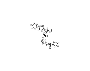 CN(SONCC1CC(CNC(=O)c2ccccc2)CO1)c1ccc(-c2ccccc2)cc1.S